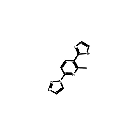 Ic1nc(-n2ccnn2)ccc1-c1ncc[nH]1